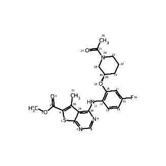 COC(=O)c1sc2ncnc(Nc3ccc(F)cc3O[C@@H]3CCCN(C(C)=O)C3)c2c1C